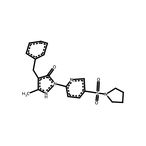 Cc1[nH]n(-c2ccc(S(=O)(=O)N3CCCC3)cn2)c(=O)c1Cc1ccccc1